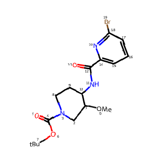 COC1CN(C(=O)OC(C)(C)C)CCC1NC(=O)c1cccc(Br)n1